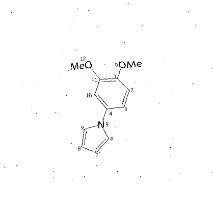 COc1ccc(-n2c[c]cc2)cc1OC